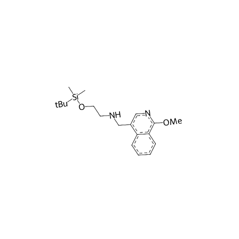 COc1ncc(CNCCO[Si](C)(C)C(C)(C)C)c2ccccc12